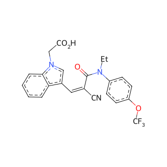 CCN(C(=O)C(C#N)=Cc1cn(CC(=O)O)c2ccccc12)c1ccc(OC(F)(F)F)cc1